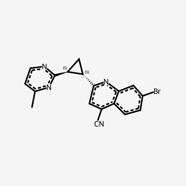 Cc1ccnc([C@H]2C[C@@H]2c2cc(C#N)c3ccc(Br)cc3n2)n1